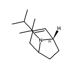 CC(C)C1=C[C@@H]2CCC(C1)N2C(C)C